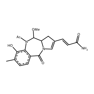 COC1C2CC(C=CC(N)=O)=CN2C(=O)c2ccc(C)c(O)c2N1C(C)=O